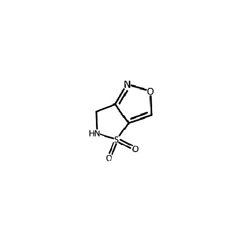 O=S1(=O)NCc2nocc21